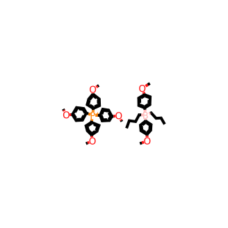 CCCC[B-](CCCC)(c1ccc(OC)cc1)c1ccc(OC)cc1.COc1ccc([P+](c2ccc(OC)cc2)(c2ccc(OC)cc2)c2ccc(OC)cc2)cc1